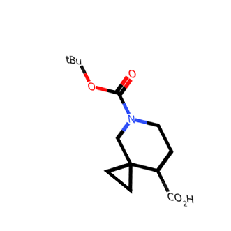 CC(C)(C)OC(=O)N1CCC(C(=O)O)C2(CC2)C1